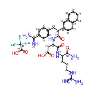 N=C(N)NCCCC(NC(=O)C(CC(=O)O)NC(=O)[C@@H](Cc1ccc(C(=N)N)cc1)c1ccc2ccccc2c1)C(N)=O.O=C(O)C(F)(F)F